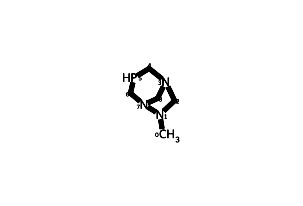 CN1CN2CPCN1C2